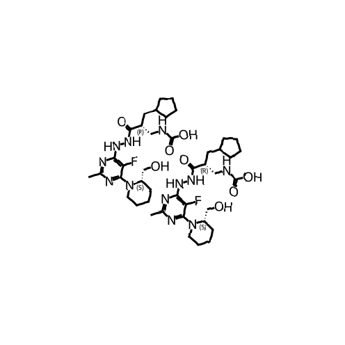 Cc1nc(NNC(=O)[C@@H](CNC(=O)O)CC2CCCC2)c(F)c(N2CCCC[C@H]2CO)n1.Cc1nc(NNC(=O)[C@@H](CNC(=O)O)CC2CCCC2)c(F)c(N2CCCC[C@H]2CO)n1